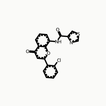 O=C(Nc1cccc2c(=O)cc(-c3ccccc3Cl)oc12)c1cscn1